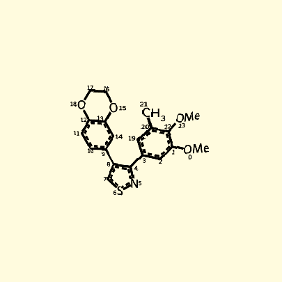 COc1cc(-c2nscc2-c2ccc3c(c2)OCCO3)cc(C)c1OC